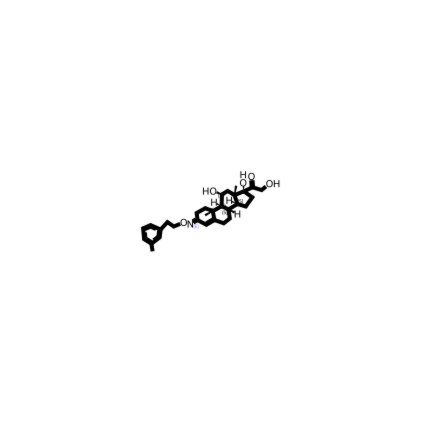 Cc1cccc(CCO/N=C2/C=C3CC[C@@H]4[C@H]([C@@H](O)C[C@@]5(C)[C@H]4CC[C@]5(O)C(=O)CO)[C@@]3(C)CC2)c1